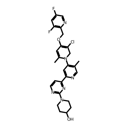 CC1=CC(OCc2ncc(F)cc2F)=C(Cl)CN1c1cc(-c2ccnc(N3CCC(O)CC3)n2)ncc1C